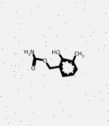 Cc1cccc(COC(N)=O)c1O